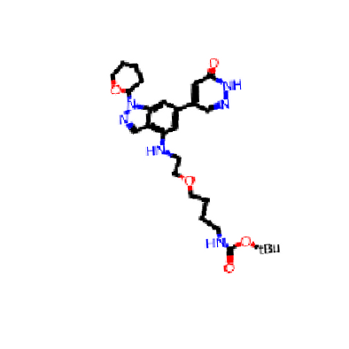 CC(C)(C)OC(=O)NCCCCOCCNc1cc(-c2cn[nH]c(=O)c2)cc2c1cnn2C1CCCCO1